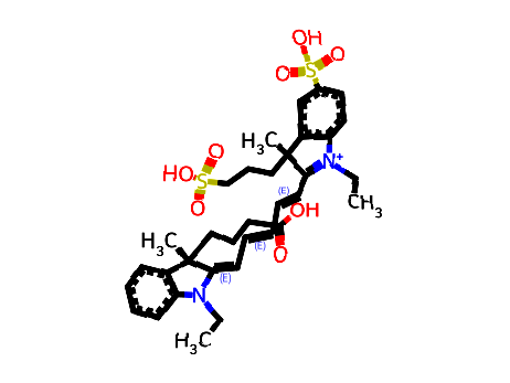 CCN1/C(=C/C=C/C=C/C2=[N+](CC)c3ccc(S(=O)(=O)O)cc3C2(C)CCCS(=O)(=O)O)C(C)(CCCC(=O)O)c2ccccc21